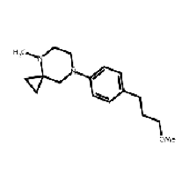 COCCCc1ccc(N2CCN(C)C3(CC3)C2)cc1